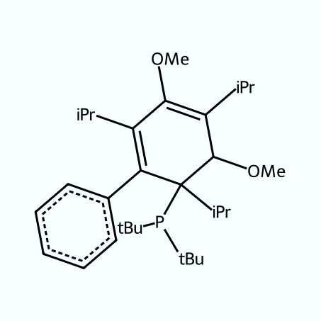 COC1=C(C(C)C)C(OC)C(C(C)C)(P(C(C)(C)C)C(C)(C)C)C(c2ccccc2)=C1C(C)C